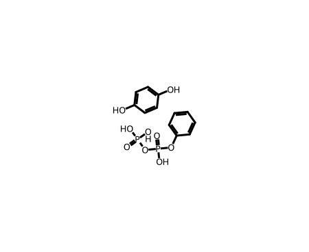 O=P(O)(O)OP(=O)(O)Oc1ccccc1.Oc1ccc(O)cc1